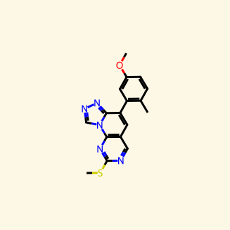 COc1ccc(C)c(-c2cc3cnc(SC)nc3n3cnnc23)c1